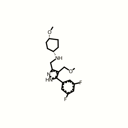 COCc1c(CN[C@H]2CC[C@@H](OC)CC2)n[nH]c1-c1cc(F)cc(F)c1